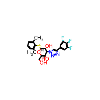 Cc1cccc(C)c1S[C@H]1OC(CO)[C@H](O)C(n2cc(-c3cc(F)c(F)c(F)c3)nn2)C1O